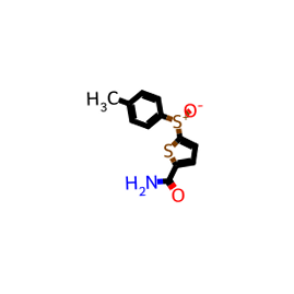 Cc1ccc([S+]([O-])c2ccc(C(N)=O)s2)cc1